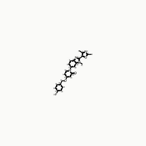 Cc1nc(C)c(-c2nc3ccc(-n4ccc(OCc5ccc(F)cc5)cc4=O)cc3n2C)o1